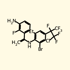 C=C(Nc1c(Br)cc(C(F)(C(F)(F)F)C(F)(F)Cl)cc1CC)c1cccc(N)c1F